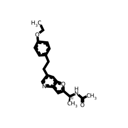 CCOc1ccc(CCc2cnc3cc([C@H](C)NC(C)=O)oc3c2)cc1